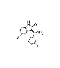 N/C(=C1\C(=O)Nc2ccc(Br)cc21)c1cccc(I)c1